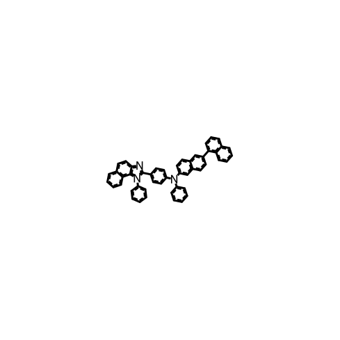 c1ccc(N(c2ccc(-c3nc4ccc5ccccc5c4n3-c3ccccc3)cc2)c2ccc3cc(-c4cccc5ccccc45)ccc3c2)cc1